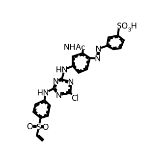 C=CS(=O)(=O)c1ccc(Nc2nc(Cl)nc(Nc3ccc(/N=N/c4cccc(S(=O)(=O)O)c4)c(NC(C)=O)c3)n2)cc1